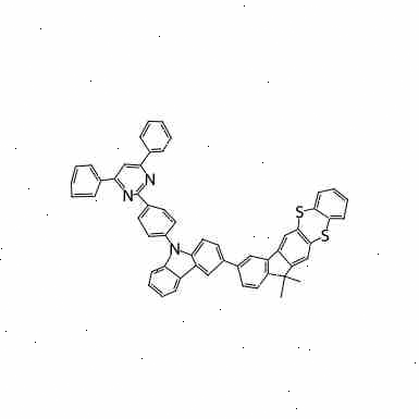 CC1(C)c2ccc(-c3ccc4c(c3)c3ccccc3n4-c3ccc(-c4nc(-c5ccccc5)cc(-c5ccccc5)n4)cc3)cc2-c2cc3c(cc21)Sc1ccccc1S3